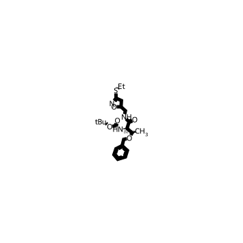 CCSC1=NOC(CNC(=O)[C@@H](NC(=O)OC(C)(C)C)[C@@H](C)OCc2ccccc2)C1